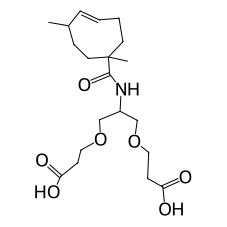 CC1/C=C/CCC(C)(C(=O)NC(COCCC(=O)O)COCCC(=O)O)CC1